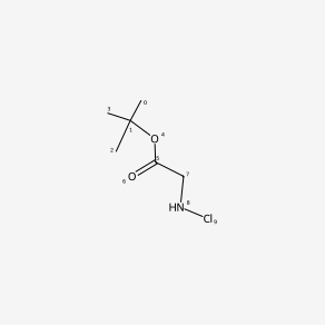 CC(C)(C)OC(=O)CNCl